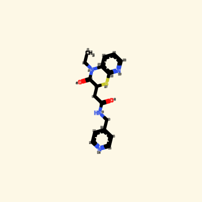 CCN1C(=O)C(CC(=O)NCc2ccncc2)Sc2ncccc21